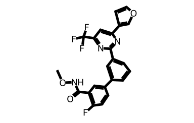 CONC(=O)c1cc(-c2cccc(-c3nc(-c4ccoc4)cc(C(F)(F)F)n3)c2)ccc1F